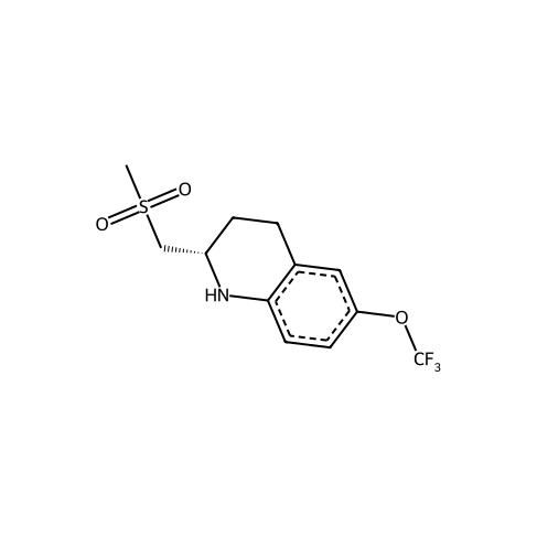 CS(=O)(=O)C[C@@H]1CCc2cc(OC(F)(F)F)ccc2N1